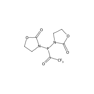 O=C1OCCN1P(C(=O)C(F)(F)F)N1CCOC1=O